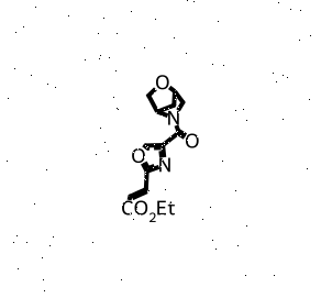 CCOC(=O)/C=C/c1nc(C(=O)N2CC3CC2CO3)co1